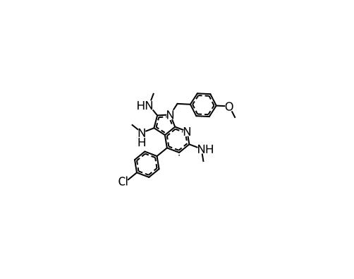 CNc1[c]c(-c2ccc(Cl)cc2)c2c(NC)c(NC)n(Cc3ccc(OC)cc3)c2n1